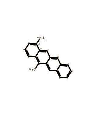 COc1c2cc3ccccc3cc2cc2c(N)cccc12